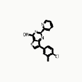 Cc1cc(-c2csc3c(N=O)nc(-c4ccccn4)nc23)ccc1Cl